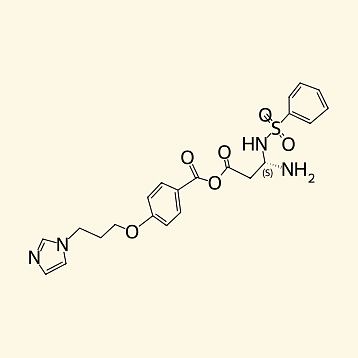 N[C@H](CC(=O)OC(=O)c1ccc(OCCCn2ccnc2)cc1)NS(=O)(=O)c1ccccc1